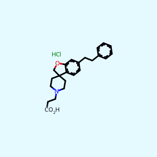 Cl.O=C(O)CCN1CCC2(CC1)COc1cc(CCc3ccccc3)ccc12